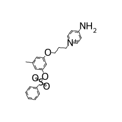 Cc1cc(OCCC[n+]2ccc(N)cc2)cc(OS(=O)(=O)c2ccccc2)c1